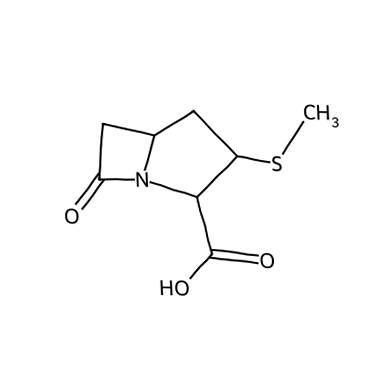 CSC1CC2CC(=O)N2C1C(=O)O